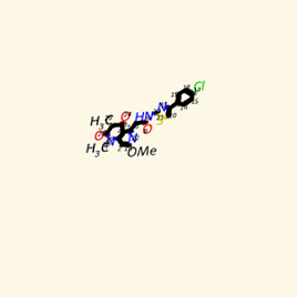 COc1cc2c(c(CC(=O)Nc3nc(-c4ccc(Cl)cc4)cs3)n1)C(=O)C(C)C(=O)N2C